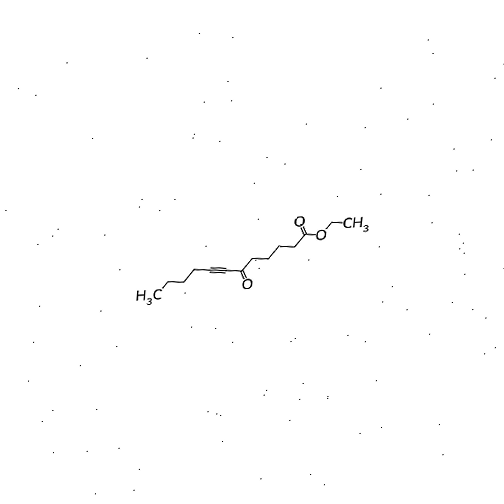 CCCCC#CC(=O)CCCCC(=O)OCC